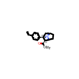 C=Cc1ccc([C@H]2CC3CCC([C@H]2C(=O)OC)N3C)cc1